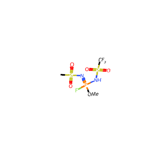 COP(F)(=NS(C)(=O)=O)NS(=O)(=O)C(F)(F)F